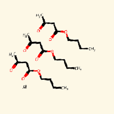 CCCCOC(=O)CC(C)=O.CCCCOC(=O)CC(C)=O.CCCCOC(=O)CC(C)=O.[Al]